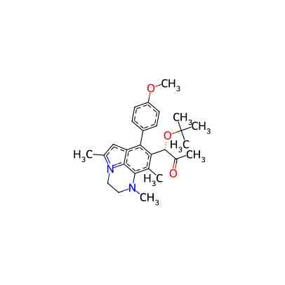 COc1ccc(-c2c([C@H](OC(C)(C)C)C(C)=O)c(C)c3c4c2cc(C)n4CCN3C)cc1